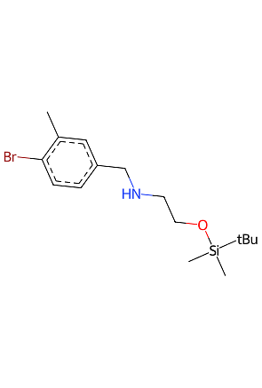 Cc1cc(CNCCO[Si](C)(C)C(C)(C)C)ccc1Br